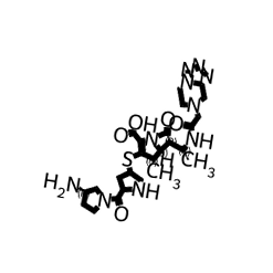 C[C@@H](NC(=O)CN1CCn2nnnc2C1)[C@H]1C(=O)N2C(C(=O)O)=C(SC3CNC(C(=O)N4CC[C@@H](N)C4)C3)[C@H](C)[C@H]12